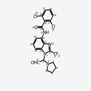 O=CC(N1CCCC1)n1c(C(F)(F)F)nc2c(NC(=O)c3c(Cl)cccc3Cl)cccc21